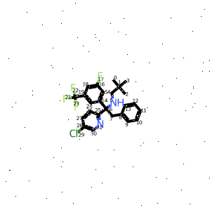 CC(C)(C)CNC(Cc1ccccc1)(c1cc(F)cc(C(F)(F)F)c1)c1ccc(Cl)cn1